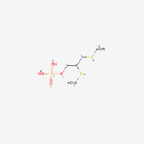 CCCCCCCCSCC(COP(=O)(O)O)SCCCCCCCC